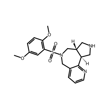 COc1ccc(OC)c(S(=O)(=O)N2Cc3cccnc3[C@@H]3CNC[C@H]3C2)c1